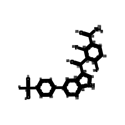 CS(=O)(=O)c1ccc(-c2cnc3[nH]cc(C(=O)c4c(F)ccc(C(N)=O)c4F)c3c2)cc1